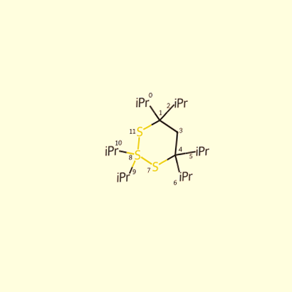 CC(C)C1(C(C)C)CC(C(C)C)(C(C)C)SS(C(C)C)(C(C)C)S1